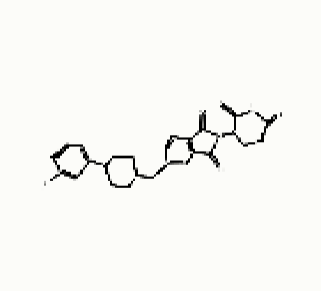 O=C1CCN(N2C(=O)c3ccc(CN4CCC(c5cccc(C(F)(F)F)c5)CC4)cc3C2=O)C(=O)N1